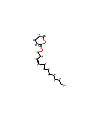 FCCCCCCCC/C=C\CCOC1CCCCO1